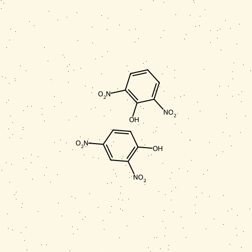 O=[N+]([O-])c1ccc(O)c([N+](=O)[O-])c1.O=[N+]([O-])c1cccc([N+](=O)[O-])c1O